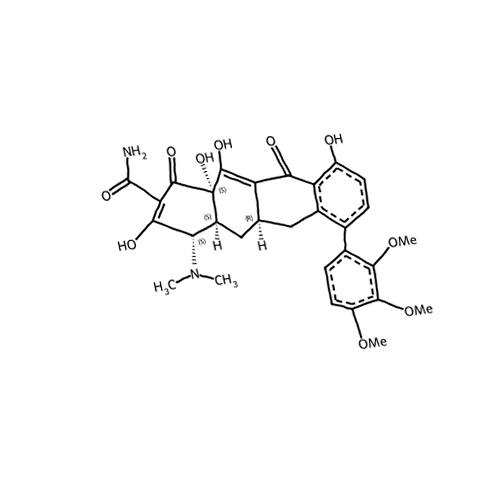 COc1ccc(-c2ccc(O)c3c2C[C@H]2C[C@H]4[C@H](N(C)C)C(O)=C(C(N)=O)C(=O)[C@@]4(O)C(O)=C2C3=O)c(OC)c1OC